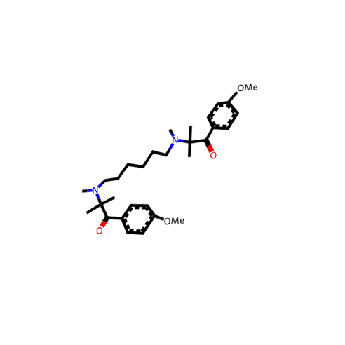 COc1ccc(C(=O)C(C)(C)N(C)CCCCCCN(C)C(C)(C)C(=O)c2ccc(OC)cc2)cc1